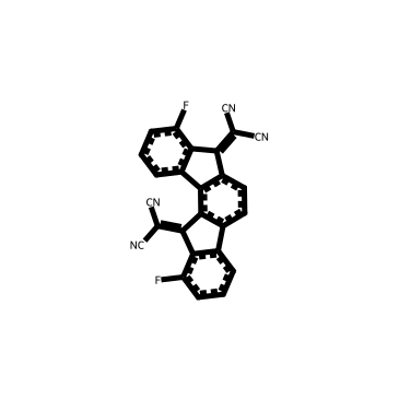 N#CC(C#N)=C1c2ccc3c(c2-c2cccc(F)c21)C(=C(C#N)C#N)c1c(F)cccc1-3